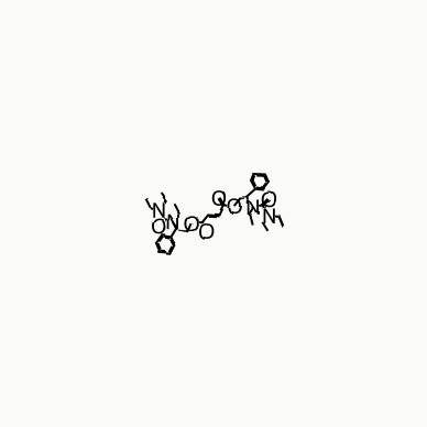 CCN(CC)C(=O)N(CC)[C@@H](COC(=O)/C=C/C(=O)OC[C@@H](c1ccccc1)N(CC)C(=O)N(CC)CC)c1ccccc1